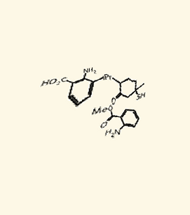 CC(C)C1CCC(C)(S)CC1=O.COC(=O)c1ccccc1N.Cc1cccc(C(=O)O)c1N